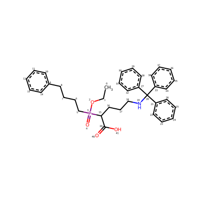 CCOP(=O)(CCCCc1ccccc1)C(CCCNC(c1ccccc1)(c1ccccc1)c1ccccc1)C(=O)O